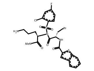 CNC(=O)[C@@H](CCCN)N(C(=O)[C@H](CC(C)C)NC(=O)c1cc2ccccc2s1)S(=O)(=O)c1ccc(F)cc1Cl